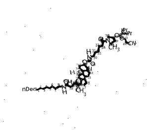 CCCCCCCCCCCCCCCCCCNC(=O)CC[C@@H](C)[C@H]1CCC2C3CC[C@@H]4C[C@H](OC(=O)NCCCCCC(=O)N5C[C@H](OP(OCCC#N)N(C(C)C)C(C)C)C[C@H]5C)CC[C@]4(C)C3CC[C@@]21C